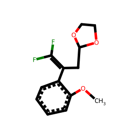 COc1ccccc1C(CC1OCCO1)=C(F)F